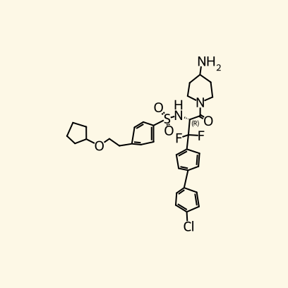 NC1CCN(C(=O)[C@@H](NS(=O)(=O)c2ccc(CCOC3CCCC3)cc2)C(F)(F)c2ccc(-c3ccc(Cl)cc3)cc2)CC1